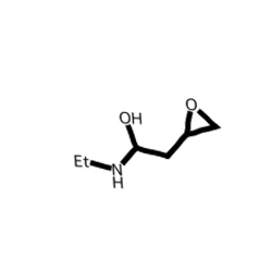 CCNC(O)CC1CO1